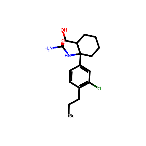 CC(C)(C)CCc1ccc(C2(NC(N)=O)CCCCC2CO)cc1Cl